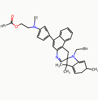 CCCC(=O)OCCN(CC)c1ccc(-c2cc3c(c4ccccc24)CC2(C=N3)N(CC(C)(C)C)C3=CC(C)CC=C3C2(C)C)cc1